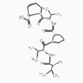 CC(C)[C@H](N)C(=O)N[C@H](C(=O)N1CCC[C@H]1C(=O)N[C@H](C(=O)N1CCC[C@H]1C(=O)O)C(C)C)C(C)C